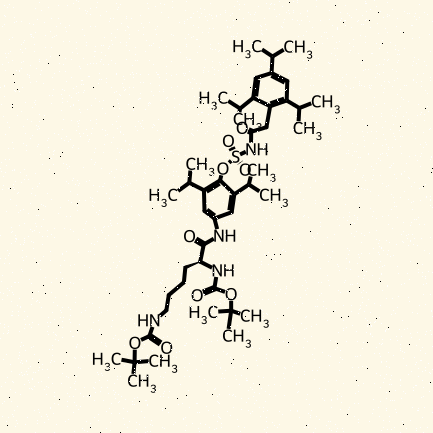 CC(C)c1cc(C(C)C)c(CC(=O)NS(=O)(=O)Oc2c(C(C)C)cc(NC(=O)[C@H](CCCCNC(=O)OC(C)(C)C)NC(=O)OC(C)(C)C)cc2C(C)C)c(C(C)C)c1